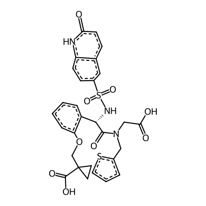 O=C(O)CN(Cc1cccs1)C(=O)[C@@H](NS(=O)(=O)c1ccc2[nH]c(=O)ccc2c1)c1ccccc1OCC1(C(=O)O)CC1